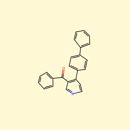 O=C(c1ccccc1)c1cnccc1-c1ccc(-c2ccccc2)cc1